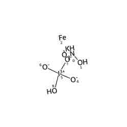 O=[N+]([O-])O.[Fe].[KH].[O-][I+3]([O-])([O-])O